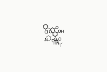 CC(C)NC(=O)Oc1cc(O)c2c(=O)cc(-c3ccccc3Cl)oc2c1[C@H]1CCN(C)C[C@H]1O